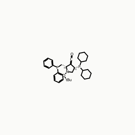 CC(C)(C)ON1C[C@@H](P(C2CCCCC2)C2CCCCC2)C(=C=O)[C@H]1CP(c1ccccc1)c1ccccc1